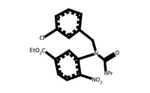 CCCC(=O)N(Cc1cccc(Cl)c1)c1cc(C(=O)OCC)ccc1[N+](=O)[O-]